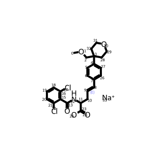 COCC1(c2ccc(/C=C/CC(NC(=O)c3c(Cl)cccc3Cl)C(=O)[O-])cc2)CCOCC1.[Na+]